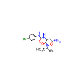 CC(C)(C)C(NC(=O)C(CC(N)=O)NC(=O)Nc1ccc(Br)cc1)C(=O)O